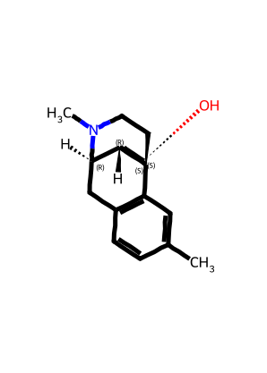 Cc1ccc2c(c1)[C@]13CCN(C)[C@H](C2)[C@@H]1CC[C@H](O)C3